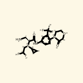 NC[C@@H](C(=O)Nc1ccc(N2CCOCC2=O)c(C(F)(F)F)c1)N(CC(F)F)C1CC1